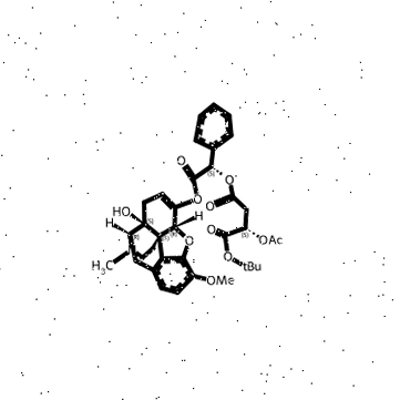 COc1ccc2c3c1O[C@H]1C(OC(=O)[C@@H](OC(=O)C[C@H](OC(C)=O)C(=O)OC(C)(C)C)c4ccccc4)=CC[C@@]4(O)[C@@H](C2)N(C)CC[C@]314